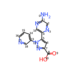 Nc1cnc(-c2cc(C(=O)O)nn2-c2cccnc2)cn1